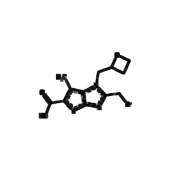 Cc1c(C(=O)O)sc2nc(CBr)n(CC3CCO3)c12